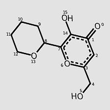 O=c1cc(CO)oc(C2CCCCO2)c1O